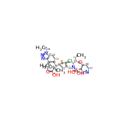 CCC1CN(Cc2cc(C(c3ccc4c(nnn4CC)c3C)C(C)(C)C(=O)O)sc2Cl)S(O)(O)c2cnccc2O1